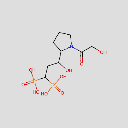 O=C(CO)N1CCCC1C(O)CC(P(=O)(O)O)P(=O)(O)O